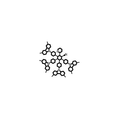 Cc1ccc2c(c1)c1cc(C)ccc1n2-c1ccc(-c2c(C#N)c(-c3ccccn3)c(-c3ccc(-n4c5ccc(C)cc5c5cc(C)ccc54)cc3)c(-c3ccc(-n4c5ccc(C)cc5c5cc(C)ccc54)cc3)c2-c2ccc(-n3c4ccc(C)cc4c4cc(C)ccc43)cc2)cc1